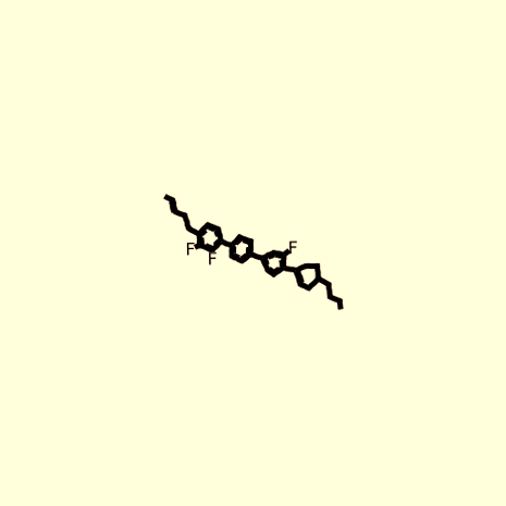 C/C=C/CCc1ccc(-c2ccc(-c3ccc(C4=CCC(CCCC)CC4)c(F)c3)cc2)c(F)c1F